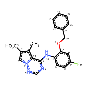 Cc1c(C(=O)O)cn2ncnc(Nc3ccc(F)cc3OCc3ccccc3)c12